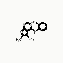 CCCc1ccccc1Nc1ncnc2sc(C)c(C)c12